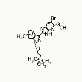 COc1nc2[nH]c(-c3nn(COCC[Si](C)(C)C)c4c3C3CC(C)(C4)C3)nc2cc1Br